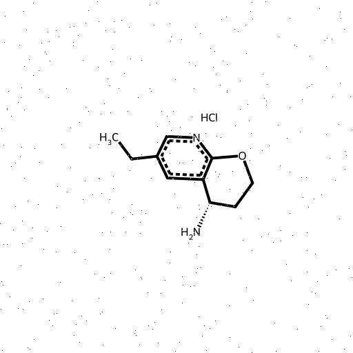 CCc1cnc2c(c1)[C@@H](N)CCO2.Cl